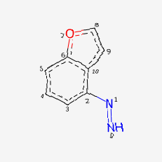 N=Nc1cccc2occc12